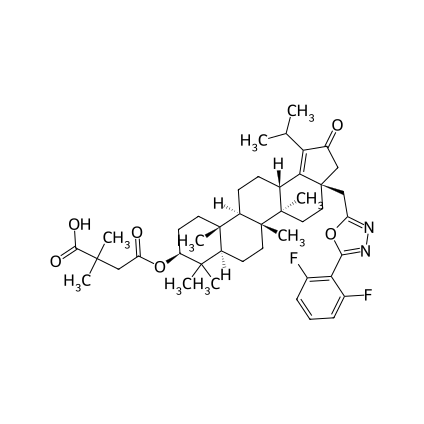 CC(C)C1=C2[C@H]3CC[C@@H]4[C@@]5(C)CC[C@H](OC(=O)CC(C)(C)C(=O)O)C(C)(C)[C@@H]5CC[C@@]4(C)[C@]3(C)CC[C@@]2(Cc2nnc(-c3c(F)cccc3F)o2)CC1=O